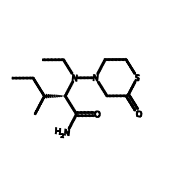 CCC(C)[C@@H](C(N)=O)N(CC)N1CCSC(=O)C1